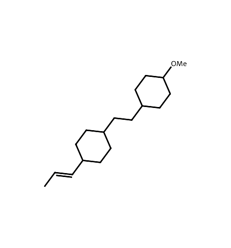 CC=CC1CCC(CCC2CCC(OC)CC2)CC1